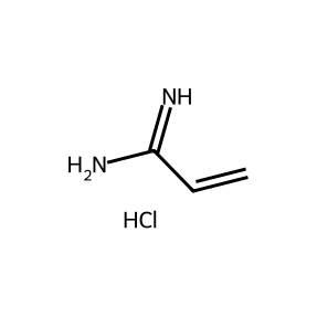 C=CC(=N)N.Cl